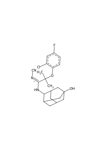 CC(C)(Oc1ccc(F)cc1Cl)/C(=N\C#N)NC1C2CC3CC1CC(O)(C3)C2